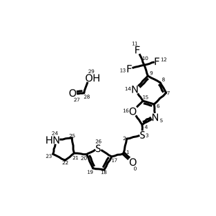 O=C(CSc1nc2ccc(C(F)(F)F)nc2o1)c1ccc(C2CCNC2)s1.O=CO